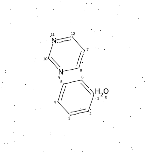 O.c1ccccc1.c1cncnc1